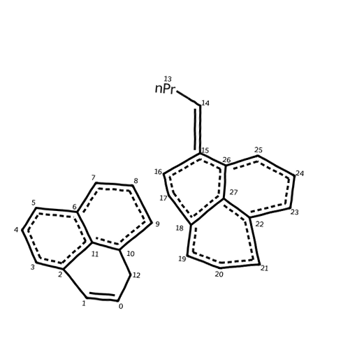 C1=Cc2cccc3cccc(c23)C1.CCCC=c1ccc2cccc3cccc1c32